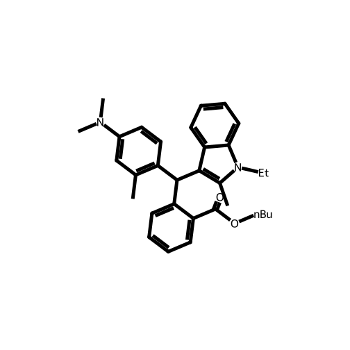 CCCCOC(=O)c1ccccc1C(c1ccc(N(C)C)cc1C)c1c(C)n(CC)c2ccccc12